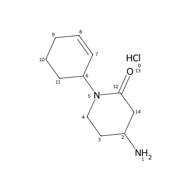 Cl.NC1CCN(C2C=CCCC2)C(=O)C1